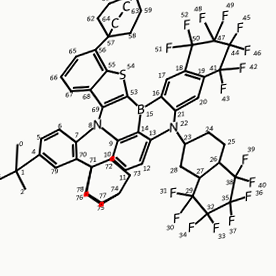 CC(C)(C)c1ccc(N2c3cccc4c3B(c3cc5c(cc3N4C3CCC4C(C3)C(F)(F)C(F)(F)C(F)(F)C4(F)F)C(F)(F)C(F)(F)C(F)(F)C5(F)F)c3sc4c(C56CCC(CC5)CC6)cccc4c32)c(C23CCC(CC2)CC3)c1